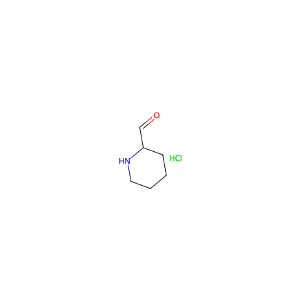 Cl.O=CC1CCCCN1